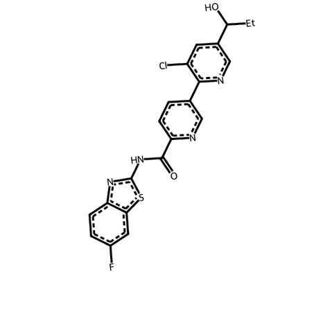 CCC(O)c1cnc(-c2ccc(C(=O)Nc3nc4ccc(F)cc4s3)nc2)c(Cl)c1